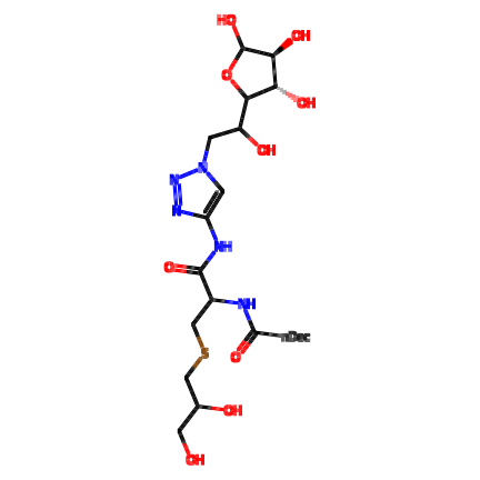 CCCCCCCCCCC(=O)NC(CSCC(O)CO)C(=O)Nc1cn(CC(O)C2OC(O)[C@@H](O)[C@@H]2O)nn1